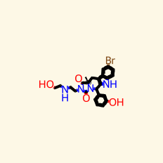 C[C@@]12Cc3c([nH]c4ccc(Br)cc34)C(c3cccc(O)c3)N1C(=O)N(CCNCCO)C2=O